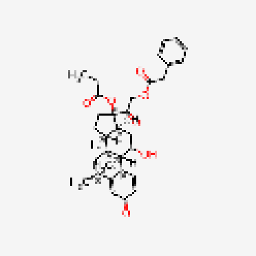 CCC(=O)O[C@]1(C(=O)COC(=O)Cc2ccccc2)CC[C@H]2[C@@H]3C[C@H](C)C4=CC(=O)C=C[C@]4(C)[C@H]3C(O)C[C@@]21C